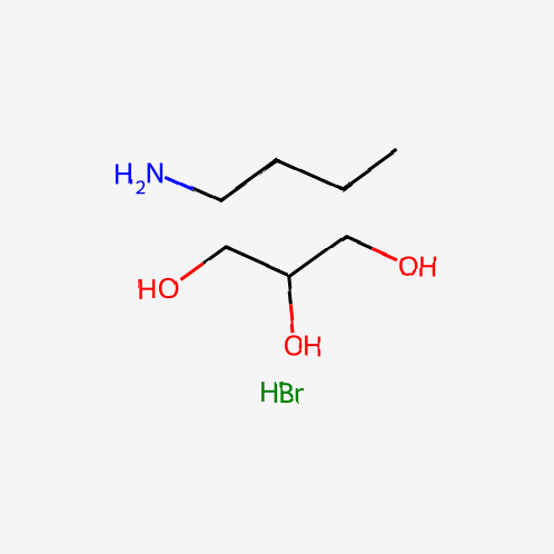 Br.CCCCN.OCC(O)CO